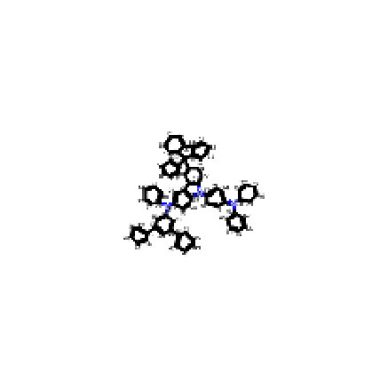 C1=C(C2(c3ccccc3)c3ccccc3-c3ccccc32)CCc2c1c1cc(N(c3ccccc3)c3cc(-c4ccccc4)cc(-c4ccccc4)c3)ccc1n2-c1ccc(N(c2ccccc2)c2ccccc2)cc1